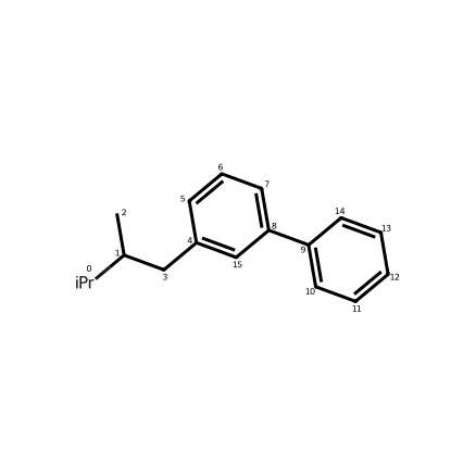 CC(C)C(C)Cc1cccc(-c2ccccc2)c1